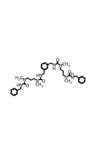 CN(CCCN(C)C(=O)NCc1cccc(CNC(=O)N(C)CCCN(C)C(=O)NCc2ccccc2)c1)C(=O)NCc1ccccc1